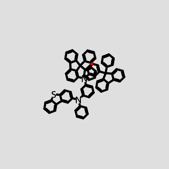 c1ccc(N(c2cccc(N(c3cccc(C4(c5ccccc5)c5ccccc5-c5ccccc54)c3)c3cccc4c3C(c3ccccc3)(c3ccccc3)c3ccccc3-4)c2)c2ccc3sc4ccccc4c3c2)cc1